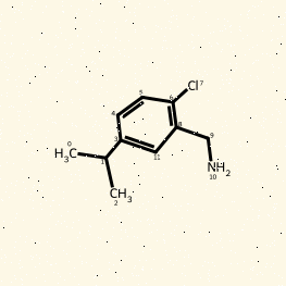 CC(C)c1ccc(Cl)c(CN)c1